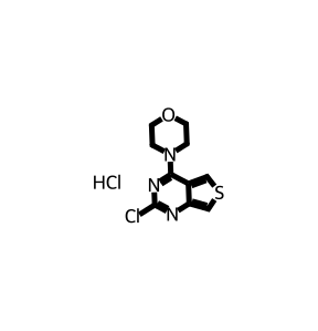 Cl.Clc1nc(N2CCOCC2)c2cscc2n1